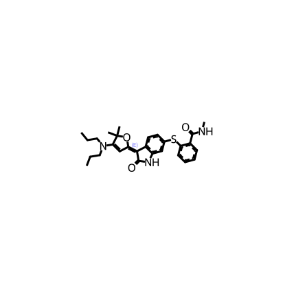 CCCN(CCC)C1=C/C(=C2\C(=O)Nc3cc(Sc4ccccc4C(=O)NC)ccc32)OC1(C)C